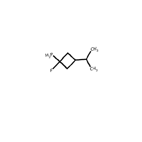 CC(C)C1CC(F)(P)C1